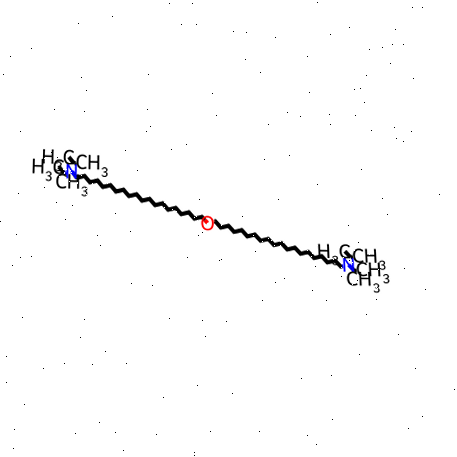 CC(C)N(CCCCCCCCCCCCCCCCCCCCOCCCCCCCCCCCCCCCCCCCCN(C(C)C)C(C)C)C(C)C